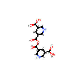 O=C(O)c1cncc(C(=O)OC(=O)c2cncc(C(=O)O)c2)c1